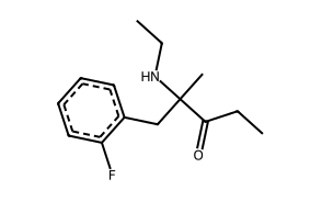 CCNC(C)(Cc1ccccc1F)C(=O)CC